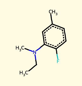 CCN(C)c1cc(C)ccc1F